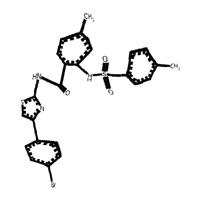 Cc1ccc(S(=O)(=O)Nc2cc(C)ccc2C(=O)Nc2nc(-c3ccc(Br)cc3)cs2)cc1